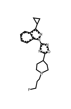 FCCCN1CCC(c2nc(-n3nc(C4CC4)c4ccccc43)no2)CC1